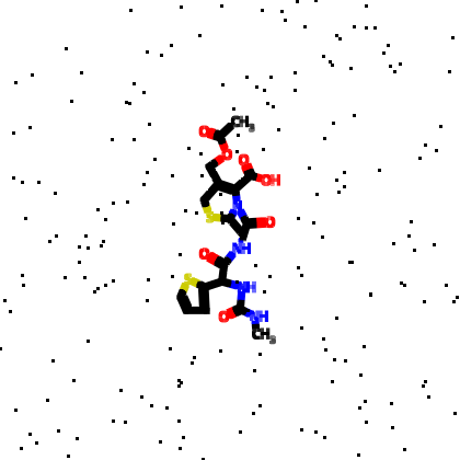 CNC(=O)NC(C(=O)N[C@H]1C(=O)N2C(C(=O)O)=C(COC(C)=O)CSC12)c1cccs1